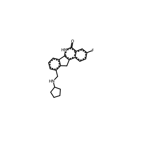 O=c1[nH]c2c(c3ccc(F)cc13)Cc1c(CNC3CCCC3)cccc1-2